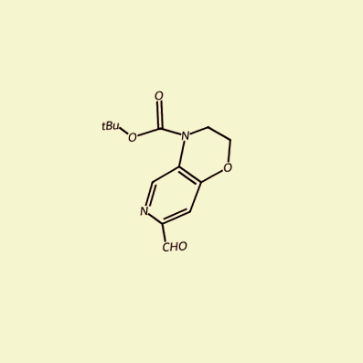 CC(C)(C)OC(=O)N1CCOc2cc(C=O)ncc21